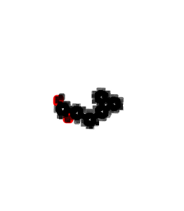 COc1ccc2oc3cc(-c4cccc(-c5ccc6c7ccccc7c7ccccc7c6c5)c4)ccc3c2c1